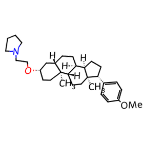 COc1ccc([C@H]2CC[C@@H]3[C@@H]4CC[C@H]5C[C@@H](OCCN6CCCC6)CC[C@]5(C)[C@H]4CC[C@]23C)cc1